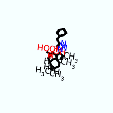 CC1=C[C@]23C(=O)[C@@H](C=C(CO)[C@@H](O)[C@]2(O)[C@H]1n1cc(Cc2ccccc2)nn1)[C@H]1[C@@H](C[C@H]3C)C1(C)C